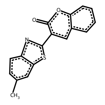 Cc1ccc2nc(-c3cc4ccccc4oc3=O)sc2c1